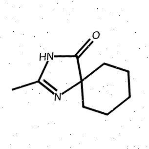 CC1=NC2(CCCCC2)C(=O)N1